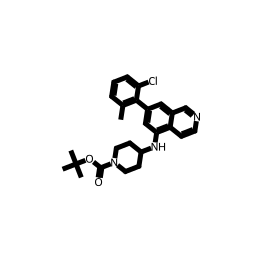 Cc1cccc(Cl)c1-c1cc(NC2CCN(C(=O)OC(C)(C)C)CC2)c2ccncc2c1